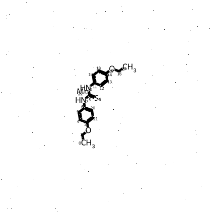 CCOc1ccc(NC(=S)Nc2ccc(OCC)cc2)cc1.[Mo]